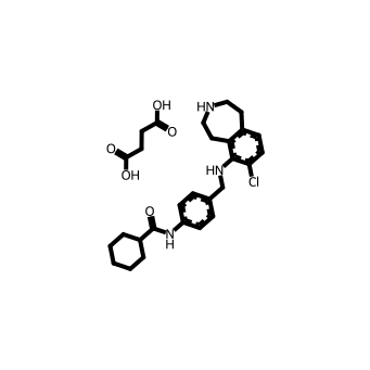 O=C(Nc1ccc(CNc2c(Cl)ccc3c2CCNCC3)cc1)C1CCCCC1.O=C(O)CCC(=O)O